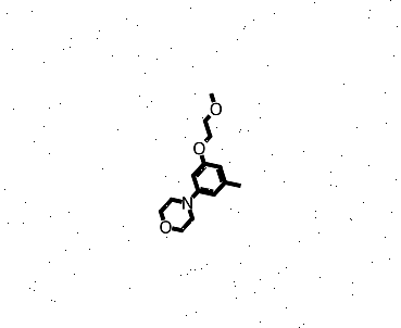 COCCOc1cc(C)cc(N2CCOCC2)c1